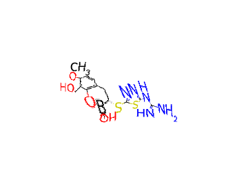 COc1ccc2c(c1CO)OB(O)[C@@H](Sc1nnc(NC(=N)N)s1)C2